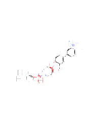 CC(C)(C)OC(=O)N1CCC2(CC1)OCc1cc(-c3cccc(N)c3)ccc1O2